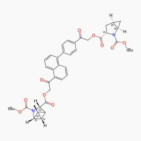 CC(C)(C)OC(=O)N1[C@H](C(=O)OCC(=O)c2cccc3c(-c4ccc(C(=O)COC(=O)[C@@H]5C[C@H]6C[C@H]6N5C(=O)OC(C)(C)C)cc4)cccc23)C2[C@@H]3[C@H]1[C@]23C